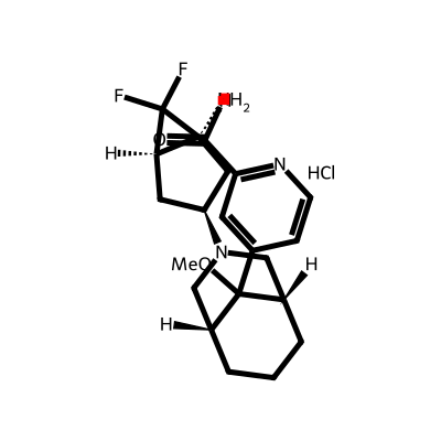 COC1(c2ccnc(C(N)=O)c2)[C@@H]2CCC[C@H]1CN([C@H]1C[C@@H]3[C@H](C1)C3(F)F)C2.Cl